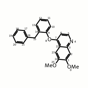 COc1cc2nccc(Oc3ccccc3Cc3ccccc3)c2cc1OC